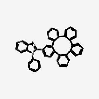 c1ccc(-n2c(-c3ccc4c5ccccc5c5ccccc5c5ccccc5c5ccccc5c4c3)nc3ccccc32)cc1